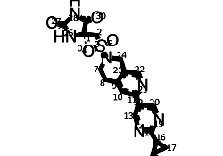 C[C@]1(CS(=O)(=O)N2CCc3cc(-c4cnc(C5CC5)nc4)ncc3C2)NC(=O)NC1=O